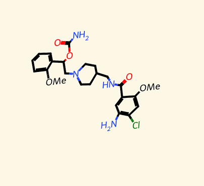 COc1cc(Cl)c(N)cc1C(=O)NCC1CCN(CC(OC(N)=O)c2ccccc2OC)CC1